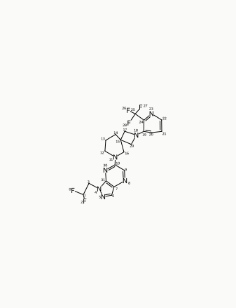 FC(F)Cn1ncc2ncc(N3CCCC4(C3)CN(c3cccnc3C(F)(F)F)C4)nc21